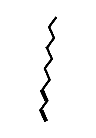 C=CC=CCCC[CH]CCC